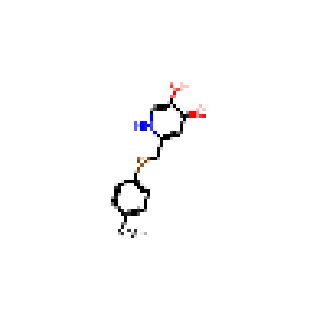 CSc1ccc(SCc2cc(=O)c(O)c[nH]2)cc1